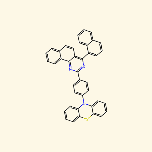 c1ccc2c(c1)Sc1ccccc1N2c1ccc(-c2nc(-c3cccc4ccccc34)c3ccc4ccccc4c3n2)cc1